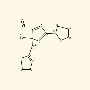 CC[C]1([Zr+2][C]2=CC=CC2)C=CC(C2CCCC2)=C1.[Cl-].[Cl-]